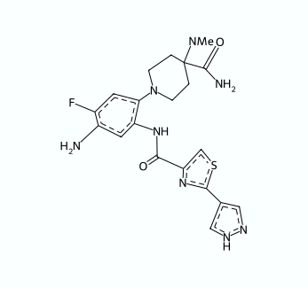 CNC1(C(N)=O)CCN(c2cc(F)c(N)cc2NC(=O)c2csc(-c3cn[nH]c3)n2)CC1